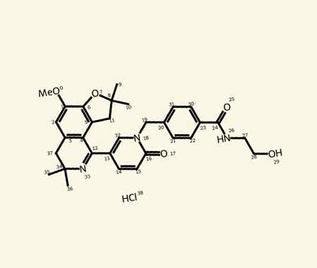 COc1cc2c(c3c1OC(C)(C)C3)C(c1ccc(=O)n(Cc3ccc(C(=O)NCCO)cc3)c1)=NC(C)(C)C2.Cl